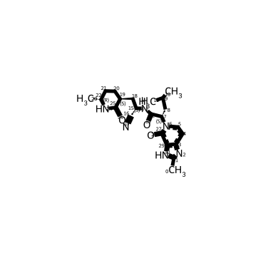 Cc1nc2ccn([C@@H](CC(C)C)C(=O)N[C@H](C#N)C[C@@H]3CC[C@@H](C)NC3=O)c(=O)c2[nH]1